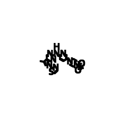 Cc1cn(-c2nccs2)c2nc(Nc3ccc(N4CCN(S(C)(=O)=O)CC4)cn3)ncc12